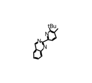 Cc1ccc(-c2ncc3ccccc3n2)nc1C(C)(C)C